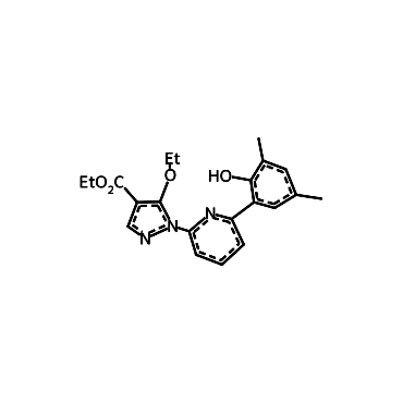 CCOC(=O)c1cnn(-c2cccc(-c3cc(C)cc(C)c3O)n2)c1OCC